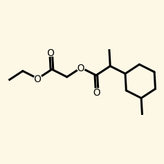 CCOC(=O)COC(=O)C(C)C1CCCC(C)C1